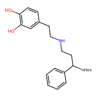 CCCCCCC(CCNCCc1ccc(O)c(O)c1)c1ccccc1